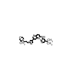 CC(C)c1cnnc(Nc2ccc3ncc(-c4cnn(CCCN5CCOCC5C)c4)cc3n2)c1